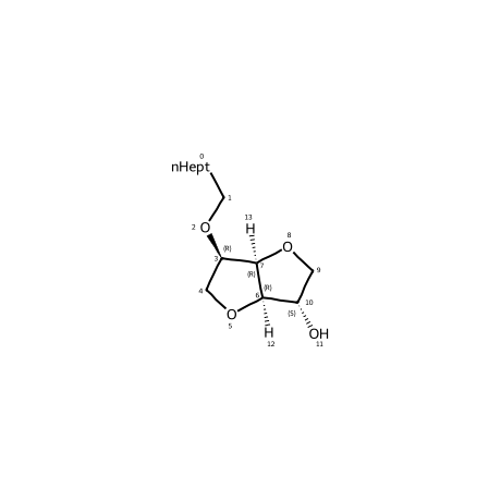 CCCCCCCCO[C@@H]1CO[C@H]2[C@@H]1OC[C@@H]2O